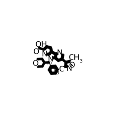 Cc1noc(C)c1-c1cnc2c3ccc(C(=O)O)nc3n([C@H](c3ccccc3)C3CCOCC3)c2c1